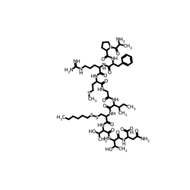 CCCCCCSSCC(NC(=O)C(NC(=O)CNC(=O)C(CCSC)NC(=O)C(CCCNC(=N)N)NC(=O)C(Cc1ccccc1)NC(=O)C1CCCN1C(=O)C(C)N)C(C)CC)C(=O)NC(C(=O)NC(C(=O)NC(CC(N)=O)C(=O)O)C(C)O)C(C)O